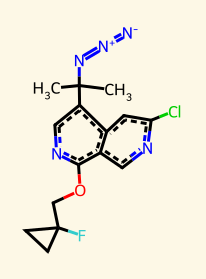 CC(C)(N=[N+]=[N-])c1cnc(OCC2(F)CC2)c2cnc(Cl)cc12